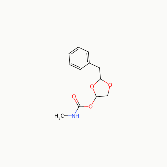 CNC(=O)OC1COC(Cc2ccccc2)O1